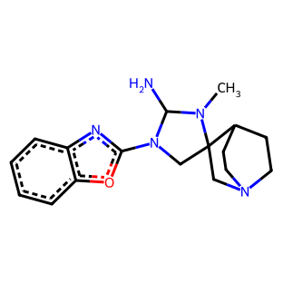 CN1C(N)N(c2nc3ccccc3o2)CC12CN1CCC2CC1